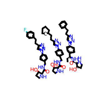 CC[C@H](NC(=O)[C@H]1NCC[C@@H]1O)c1ccc(-n2cc(CCc3ccccc3)nn2)cc1.O=C(NCc1ccc(-n2cc(CCC3CCCCC3)nn2)cc1)C1NCCC1O.O=C(NCc1ccc(-n2cc(CCc3ccc(F)cc3)nn2)cc1)C1NCCC1O